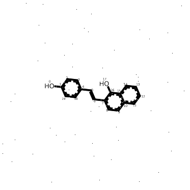 Oc1ccc(C=Cc2ccc3ccccc3c2O)cc1